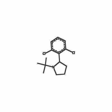 CC(C)(C)N1CCCC1c1c(Cl)cccc1Cl